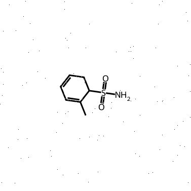 CC1=CC=CCC1S(N)(=O)=O